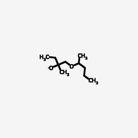 CCCC(C)OCC(C)([O])CC